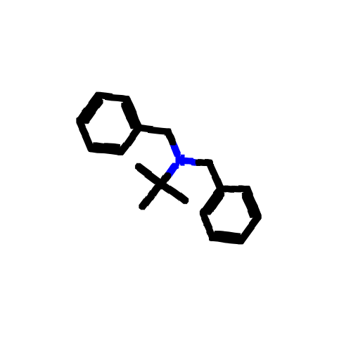 CC(C)(C)N(Cc1ccccc1)Cc1ccccc1